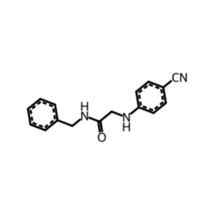 N#Cc1ccc(NCC(=O)NCc2ccccc2)cc1